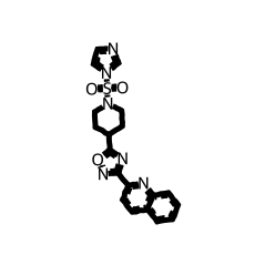 O=S(=O)(N1CCC(c2nc(-c3ccc4ccccc4n3)no2)CC1)n1ccnc1